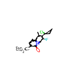 CCOC(=O)c1ccc2c(C)c(C3(Cl)CC3)c(F)cn2c1=O